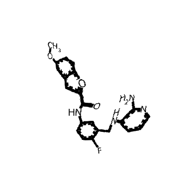 COc1ccc2oc(C(=O)Nc3ccc(F)c(CNc4cccnc4N)c3)cc2c1